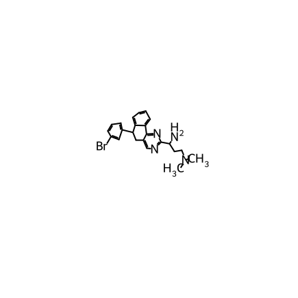 CN(C)CCC(N)c1ncc2c(n1)-c1ccccc1C(c1cccc(Br)c1)C2